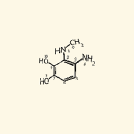 CNc1c(N)ccc(O)c1O